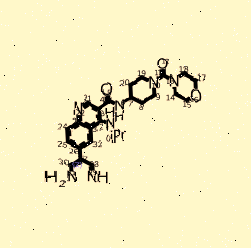 CC(C)Nc1c(C(=O)NC2CCN(C(=O)N3CCOCC3)CC2)cnc2ccc(/C(C=N)=C/N)cc12